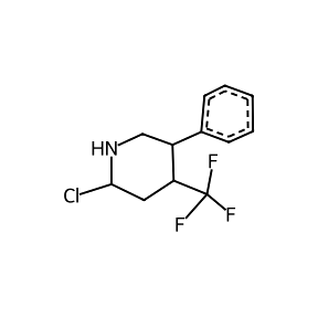 FC(F)(F)C1CC(Cl)NCC1c1ccccc1